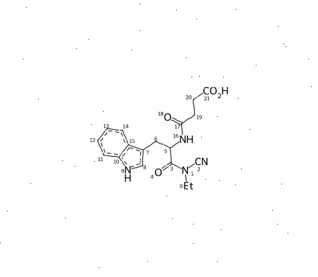 CCN(C#N)C(=O)C(Cc1c[nH]c2ccccc12)NC(=O)CCC(=O)O